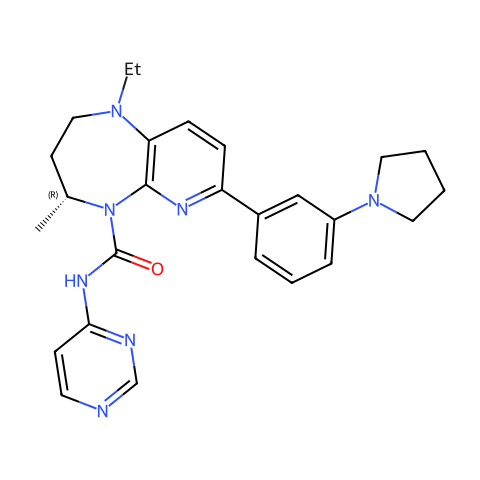 CCN1CC[C@@H](C)N(C(=O)Nc2ccncn2)c2nc(-c3cccc(N4CCCC4)c3)ccc21